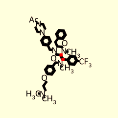 CC(=O)N1CCN(c2ccc(CN(C(=O)C=Cc3ccc(C(F)(F)F)cc3)C(Cc3ccccc3)C(=O)N(C)CCN(C)Cc3ccc(OCCCN(C)C)cc3)cc2)CC1